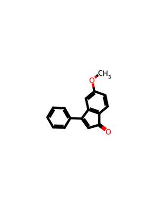 COc1ccc2c(c1)C(c1ccccc1)=CC2=O